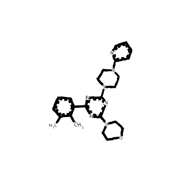 Cc1cccc(-c2nc(N3CCOCC3)nc(N3CCN(c4ccccn4)CC3)n2)c1C